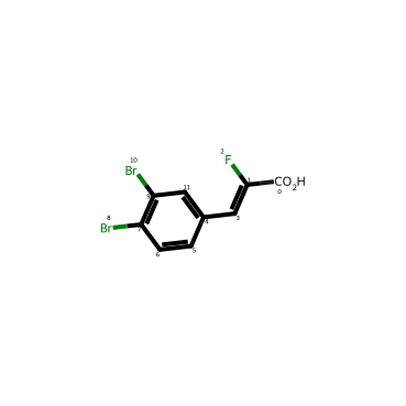 O=C(O)/C(F)=C/c1ccc(Br)c(Br)c1